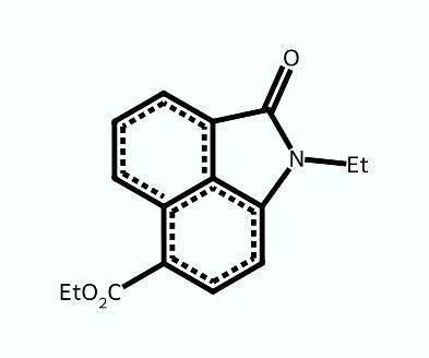 CCOC(=O)c1ccc2c3c(cccc13)C(=O)N2CC